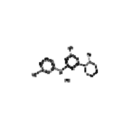 CCCc1cc(N2CCCCC2CC)nc(Nc2cccc(C#N)c2)n1.Cl